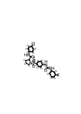 O=C(Nc1ccc(S(=O)(=O)N2CCCC2C(=O)Nc2ccc(Cl)cc2)cc1)Nc1cccc(F)c1